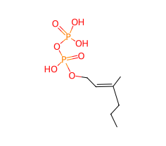 CCCC(C)=CCOP(=O)(O)OP(=O)(O)O